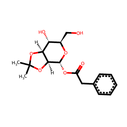 CC1(C)O[C@@H]2[C@@H](OC(=O)Cc3ccccc3)O[C@H](CO)[C@@H](O)[C@@H]2O1